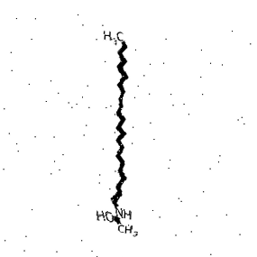 CCCCCCCCCCCCCCCCCCCCCC=CNC(C)O